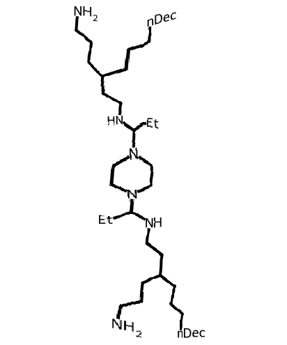 CCCCCCCCCCCCCC(CCCN)CCNC(CC)N1CCN(C(CC)NCCC(CCCN)CCCCCCCCCCCCC)CC1